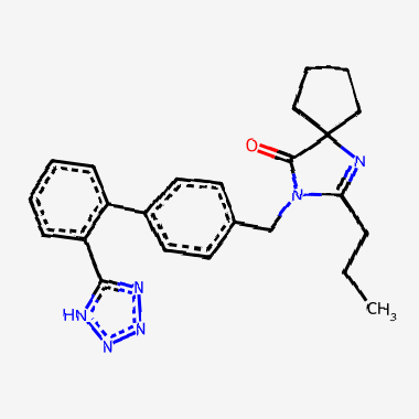 CCCC1=NC2(CCCC2)C(=O)N1Cc1ccc(-c2ccccc2-c2nnn[nH]2)cc1